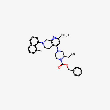 Cc1cccc2cccc(N3CCc4c(N5CCN(C(=O)OCc6ccccc6)C(CC#N)C5)cc(C(=O)O)nc4C3)c12